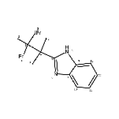 CCC(C)(C(C)C)C(C)(C)c1nc2ccccc2[nH]1